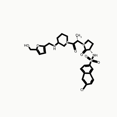 C[C@@H](C(=O)N1CCCC(NCc2ccc(CO)o2)C1)N1CC[C@H](NS(=O)(=O)c2ccc3cc(Cl)ccc3c2)C1=O